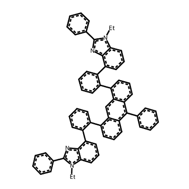 CCn1c(-c2ccccc2)nc2c(-c3ccccc3-c3cccc4c(-c5ccccc5)c5cccc(-c6ccccc6-c6cccc7c6nc(-c6ccccc6)n7CC)c5cc34)cccc21